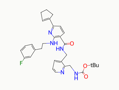 CC(C)(C)OC(=O)NCc1ncccc1CNC(=O)c1ccc(C2=CCCC2)nc1NCCc1cccc(F)c1